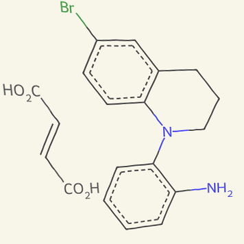 Nc1ccccc1N1CCCc2cc(Br)ccc21.O=C(O)C=CC(=O)O